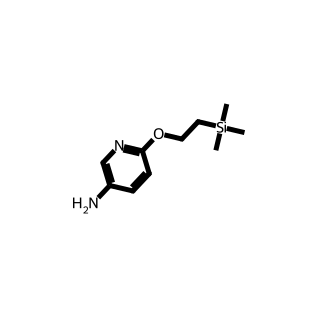 C[Si](C)(C)CCOc1ccc(N)cn1